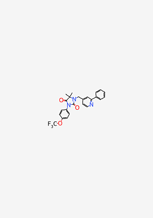 CC1(C)C(=O)N(c2ccc(OC(F)(F)F)cc2)C(=O)N1Cc1ccnc(-c2ccccc2)c1